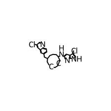 Clc1cnc2ccc(CC3CCCCCCCC(Nc4cnc5[nH]cc(Cl)c5c4)CCC3)cc2c1